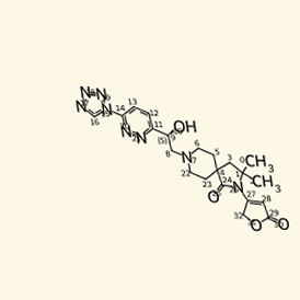 CC1(C)CC2(CCN(C[C@H](O)c3ccc(-n4cnnn4)nn3)CC2)C(=O)N1C1=CC(=O)OC1